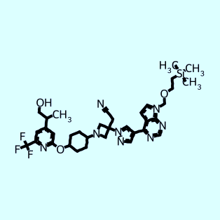 CC(CO)c1cc(OC2CCC(N3CC(CC#N)(n4cc(-c5ncnc6c5ccn6COCC[Si](C)(C)C)cn4)C3)CC2)nc(C(F)(F)F)c1